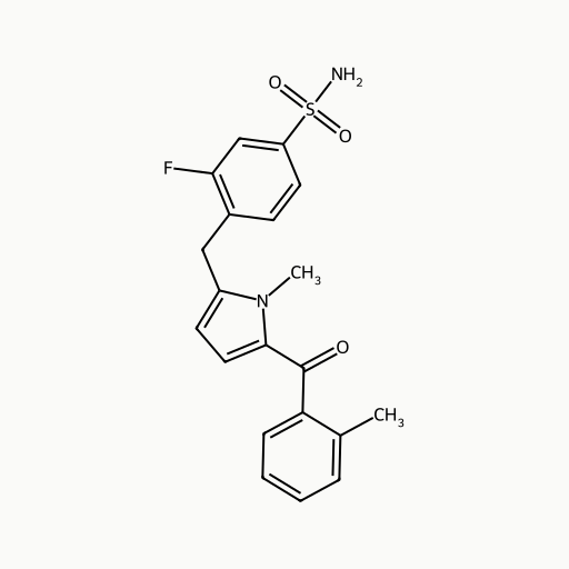 Cc1ccccc1C(=O)c1ccc(Cc2ccc(S(N)(=O)=O)cc2F)n1C